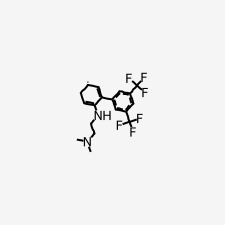 CN(C)CCNC1=CC[CH]C=C1c1cc(C(F)(F)F)cc(C(F)(F)F)c1